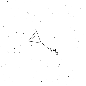 BC1C=C1